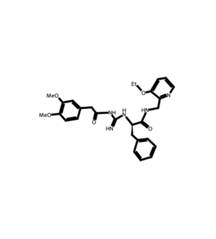 CCOc1cccnc1CNC(=O)[C@@H](Cc1ccccc1)NC(=N)NC(=O)Cc1ccc(OC)c(OC)c1